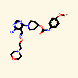 CC(C)Oc1ccc(NC(=O)OC2CCN(c3ncnc(N)c3C=NOCCN3CCOCC3)CC2)cc1